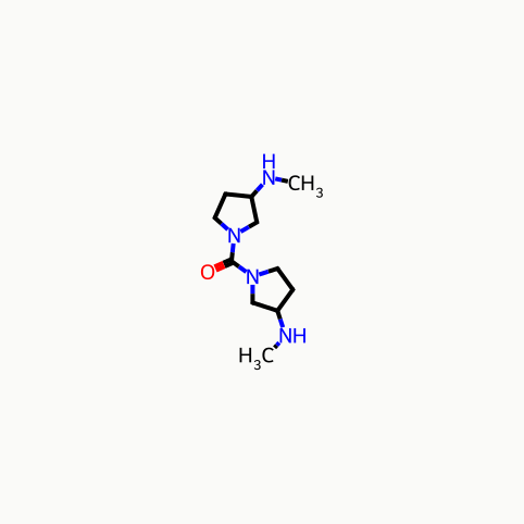 CNC1CCN(C(=O)N2CCC(NC)C2)C1